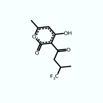 Cc1cc(O)c(C(=O)CC(C)C(F)(F)F)c(=O)o1